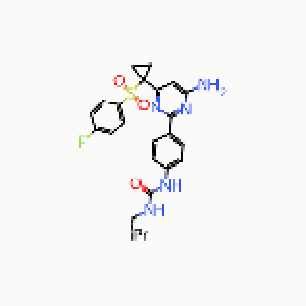 CC(C)CNC(=O)Nc1ccc(-c2nc(N)cc(C3(S(=O)(=O)c4ccc(F)cc4)CC3)n2)cc1